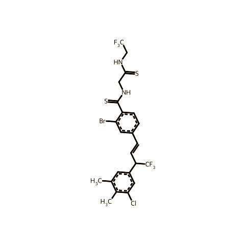 Cc1cc(C(/C=C/c2ccc(C(=S)NCC(=S)NCC(F)(F)F)c(Br)c2)C(F)(F)F)cc(Cl)c1C